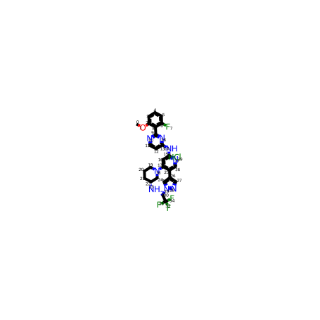 COc1cccc(F)c1-c1nccc(Nc2cc(N3CCC[C@@H](N)C3)c(-c3cnn(CC(F)(F)F)c3)cn2)n1.Cl